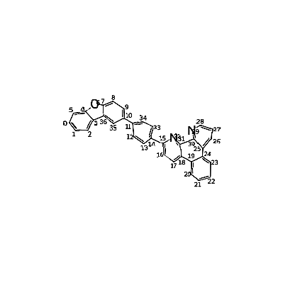 c1ccc2c(c1)oc1ccc(-c3ccc(-c4ccc5c6ccccc6c6cccnc6c5n4)cc3)cc12